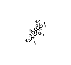 Cc1cc2c3c(ccc4c5c(Br)cc6c7c(ccc(c1c34)c75)C(=O)N(C(C)CC(C)C)C6=O)C(=O)N(C(C)CC(C)C)C2=O